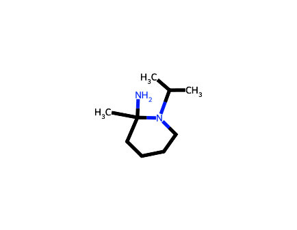 CC(C)N1CCCCC1(C)N